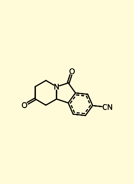 N#Cc1ccc2c(c1)C(=O)N1CCC(=O)CC21